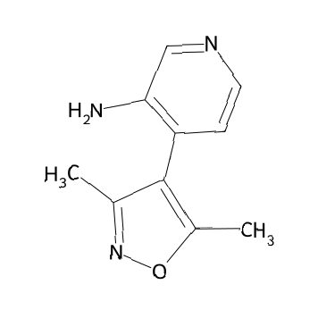 Cc1noc(C)c1-c1ccncc1N